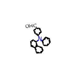 O=Cc1ccc(N(c2ccccc2)c2cccc3ccccc23)cc1